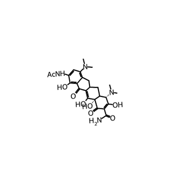 CC(=O)Nc1cc(N(C)C)c2c(c1O)C(=O)C1=C(O)[C@]3(O)C(=O)C(C(N)=O)=C(O)[C@@H](N(C)C)C3CC1C2